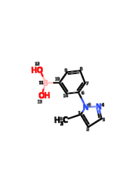 Cc1ccnn1-c1cccc(B(O)O)c1